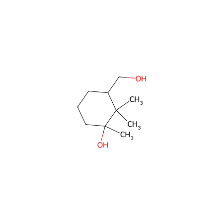 CC1(O)CCCC(CO)C1(C)C